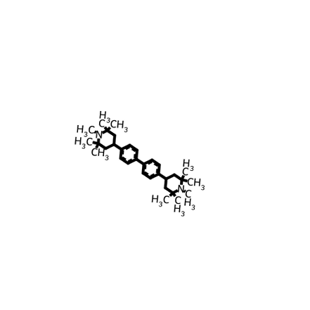 CN1C(C)(C)CC(c2ccc(-c3ccc(C4CC(C)(C)N(C)C(C)(C)C4)cc3)cc2)CC1(C)C